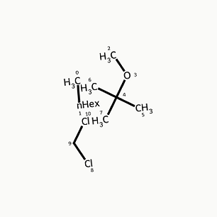 CCCCCCC.COC(C)(C)C.ClCCl